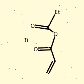 C=CC(=O)OC(=O)CC.[Ti]